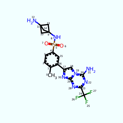 Cc1ccc(S(=O)(=O)NC23CC(N)(C2)C3)cc1-c1cn2c(N)nc(C(F)(F)F)nc2n1